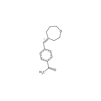 CC(=O)c1ccc(/C=C2/CCCOCC2)cc1